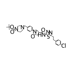 CC(C)(C)OC(=O)N1CCCN(Cc2ccc(N3CC(C(=O)Nc4nnc(CCc5ccc(Cl)cc5)s4)CC3=O)cc2)CC1